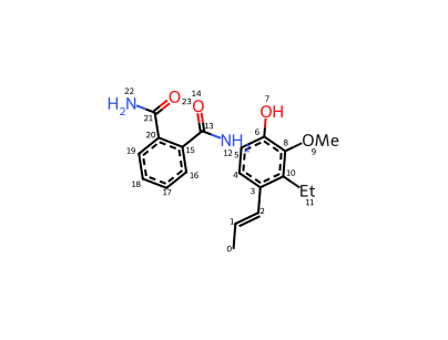 CC=Cc1ccc(O)c(OC)c1CC.NC(=O)c1ccccc1C(N)=O